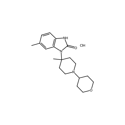 Cc1ccc2[nH]c(=O)n(C3(C)CCN(C4CCOCC4)CC3)c2c1.Cl